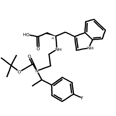 CC(c1ccc(F)cc1)N(CCN[C@@H](CC(=O)O)Cc1c[nH]c2ccccc12)C(=O)OC(C)(C)C